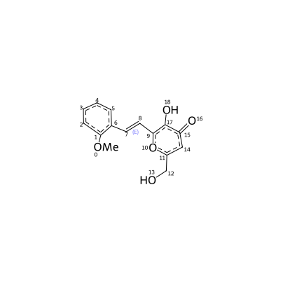 COc1ccccc1/C=C/c1oc(CO)cc(=O)c1O